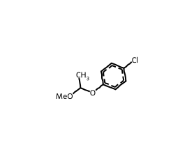 COC(C)Oc1ccc(Cl)cc1